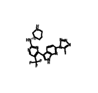 Cc1nnnn1-c1ccc2c(-c3nc(N[C@H]4CCCNC4)ncc3C(F)(F)F)c[nH]c2n1